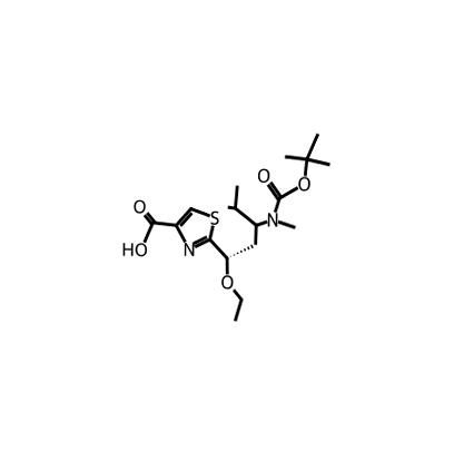 CCO[C@@H](CC(C(C)C)N(C)C(=O)OC(C)(C)C)c1nc(C(=O)O)cs1